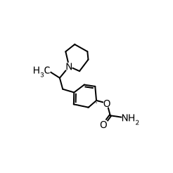 CC(CC1=CC[C](OC(N)=O)C=C1)N1CCCCC1